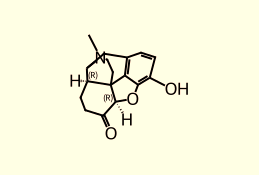 CN1CCC23c4c5ccc(O)c4O[C@H]2C(=O)CC[C@H]3C1C5